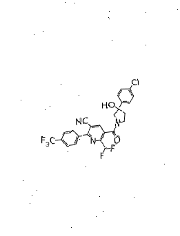 N#Cc1cc(C(=O)N2CCC(O)(c3ccc(Cl)cc3)C2)c(C(F)F)nc1-c1ccc(C(F)(F)F)cc1